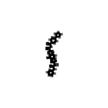 Cc1c2nc(NCC(=O)N3CCN(C4CCCC4)CC3)sc2cc2sc(NC(=O)Cc3ccccc3)nc12